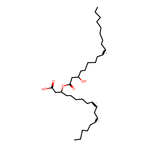 CCCCC/C=C\C/C=C\CCCCCC(CC(=O)O)OC(=O)CC(O)CCCCC/C=C\CCCCCCCC